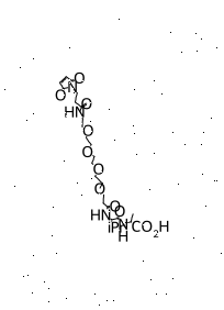 CC(C)[C@H](NC(=O)CCOCCOCCOCCOCCNC(=O)CCN1C(=O)C=CC1=O)C(=O)N[C@@H](C)C(=O)O